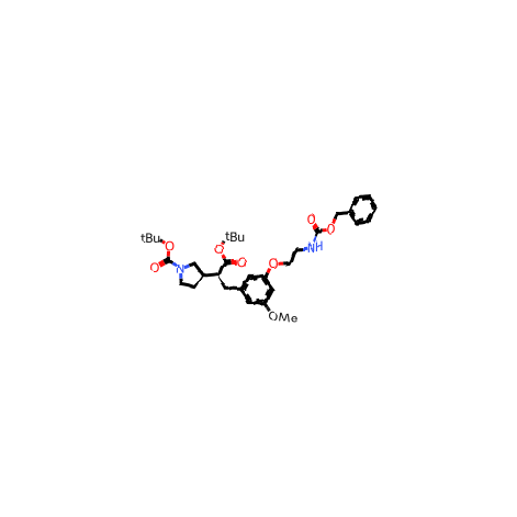 COc1cc(C[C@H](C(=O)OC(C)(C)C)[C@H]2CCN(C(=O)OC(C)(C)C)C2)cc(OCCNC(=O)OCc2ccccc2)c1